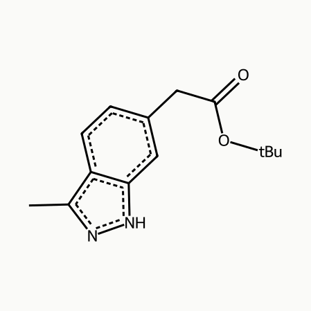 Cc1n[nH]c2cc(CC(=O)OC(C)(C)C)ccc12